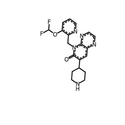 O=c1c(C2CCNCC2)cc2nccnc2n1Cc1ncccc1OC(F)F